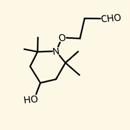 CC1(C)CC(O)CC(C)(C)N1OCCC=O